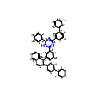 c1ccc(-c2ccc(-c3ccc4ccccc4c3-c3cccc(C4=NC(c5cccc(-c6ccccc6)c5)=NC(c5ccccc5)N4)c3)cc2)cc1